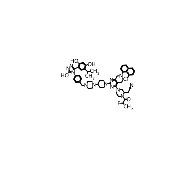 C=C(F)C(=O)N1CCN(c2nc(N3CCC(N4CCN(Cc5ccc(-n6c(O)nnc6-c6cc(C(C)C)c(O)cc6O)cc5)CC4)CC3)nc3c2CCN(c2cccc4cccc(Cl)c24)C3)CC1CC#N